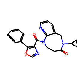 O=C(c1ncoc1-c1ccccc1)N1CCC(=O)N(C2CC2)Cc2cccnc21